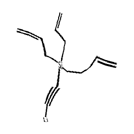 [Li][C]#C[Si](CC=C)(CC=C)CC=C